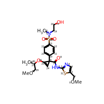 COCc1cnc(NC(=O)C2(c3ccc(S(=O)(=O)N(C)CCO)cc3)C=C2O[C@H](C)COC)s1